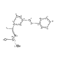 CC(=N[S@@+]([O-])C(C)(C)C)c1cccc(OCc2ccccc2)c1